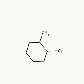 [CH2]CCN1CCCCC1C